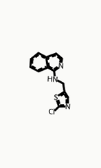 Clc1ncc(CNc2nccc3ccccc23)s1